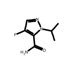 CC(C)n1ncc(F)c1C(N)=O